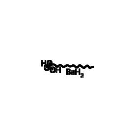 CCCCCCCCCCCCCP(=O)(O)O.[BaH2]